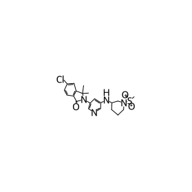 CC1(C)c2cc(Cl)ccc2C(=O)N1c1cncc(NC2CCCN(S(C)(=O)=O)C2)c1